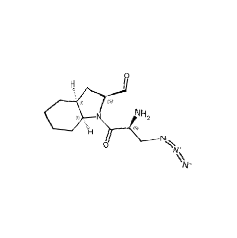 [N-]=[N+]=NC[C@H](N)C(=O)N1[C@H](C=O)C[C@@H]2CCCC[C@@H]21